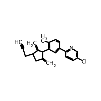 C#CCC1CC(=C)C(c2cc(-c3ccc(Cl)cn3)ccc2C)C1=C